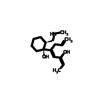 C=CC/C(=C\C(O)=C/C)[C@@]1(O)CCCC[C@@H]1CNC